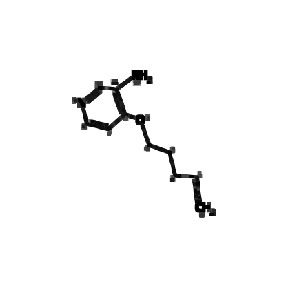 C=CCCCOc1ccncc1N